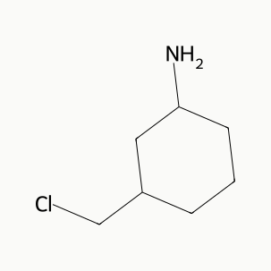 NC1CCCC(CCl)C1